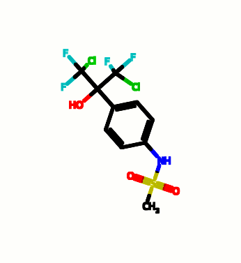 CS(=O)(=O)Nc1ccc(C(O)(C(F)(F)Cl)C(F)(F)Cl)cc1